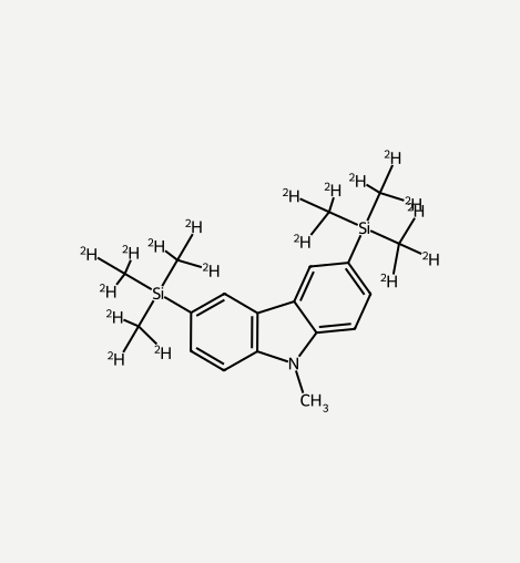 [2H]C([2H])([2H])[Si](c1ccc2c(c1)c1cc([Si](C([2H])([2H])[2H])(C([2H])([2H])[2H])C([2H])([2H])[2H])ccc1n2C)(C([2H])([2H])[2H])C([2H])([2H])[2H]